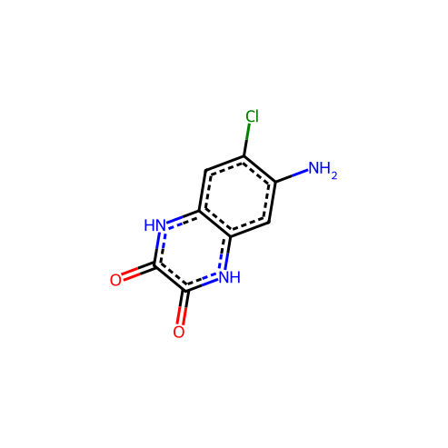 Nc1cc2[nH]c(=O)c(=O)[nH]c2cc1Cl